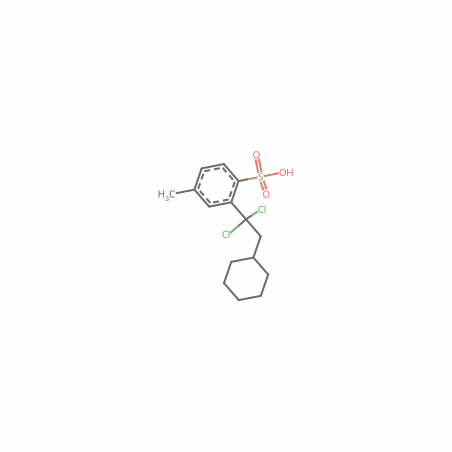 Cc1ccc(S(=O)(=O)O)c(C(Cl)(Cl)CC2CCCCC2)c1